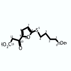 CCCCCCCCCCCCCCSc1ccc(C(=O)CC(=O)O)o1